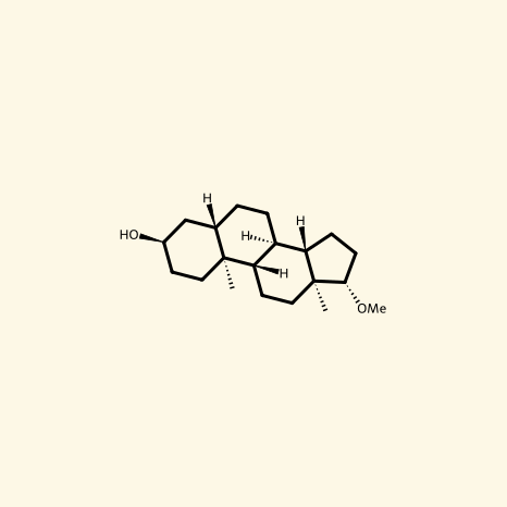 CO[C@H]1CC[C@H]2[C@@H]3CC[C@H]4C[C@H](O)CC[C@]4(C)[C@H]3CC[C@]12C